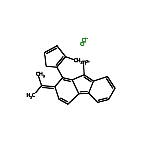 CC1=C(c2c3c(ccc2=C(C)C)=c2ccccc2=[C]3[Ti+2])CC=C1.[Cl-].[Cl-]